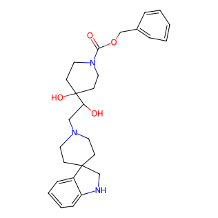 O=C(OCc1ccccc1)N1CCC(O)(C(O)CN2CCC3(CC2)CNc2ccccc23)CC1